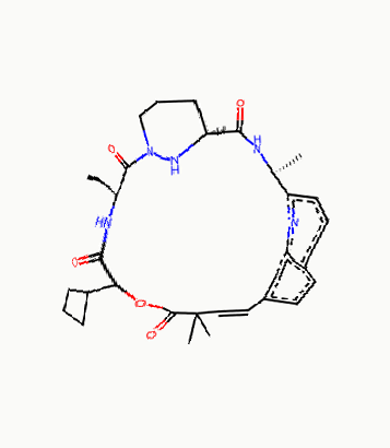 C[C@@H]1NC(=O)C(C2CCC2)OC(=O)C(C)(C)/C=C/c2ccc3ccc(nc3c2)[C@@H](C)NC(=O)[C@@H]2CCCN(N2)C1=O